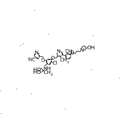 Cc1c(COc2cc(OCc3cncc(C#N)c3)c(CNC(C)(CO)CO)cc2Cl)cncc1-c1cccc(OCCCN2CCC(O)C2)c1C